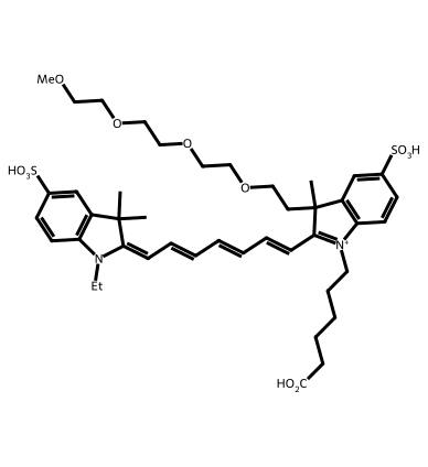 CCN1/C(=C/C=C/C=C/C=C/C2=[N+](CCCCCC(=O)O)c3ccc(S(=O)(=O)O)cc3C2(C)CCOCCOCCOCCOC)C(C)(C)c2cc(S(=O)(=O)O)ccc21